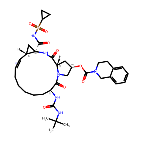 CC(C)(C)NC(=O)N[C@H]1CCCCC/C=C\[C@@H]2C[C@@]2(C(=O)NS(=O)(=O)C2CC2)NC(=O)[C@@H]2C[C@@H](OC(=O)N3CCc4ccccc4C3)CN2C1=O